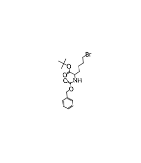 CC(C)(C)OC(=O)C(CCCCBr)NC(=O)OCc1ccccc1